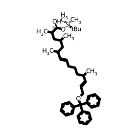 CC(C=CCOC(c1ccccc1)(c1ccccc1)c1ccccc1)CCCC=CC(C)CC(C)CC(C)[C@@H](O)O[Si](C)(C)C(C)(C)C